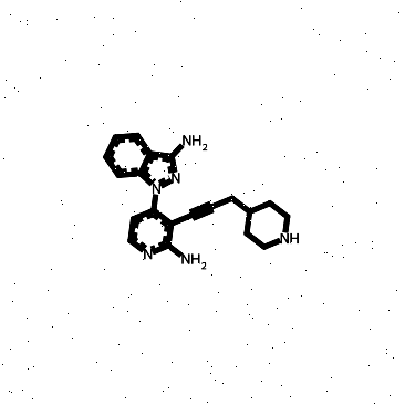 Nc1nccc(-n2nc(N)c3ccccc32)c1C#CCC1CCNCC1